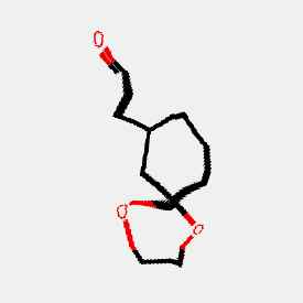 O=CCC1CCCC2(C1)OCCO2